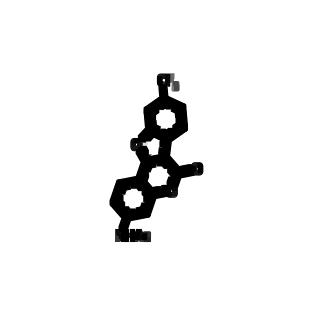 CC(=O)Nc1ccc2c(c1)oc(=O)c1c3ccc(C(F)(F)F)cc3oc21